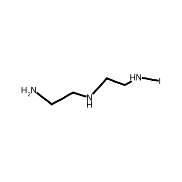 NCCNCCNI